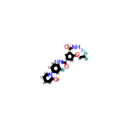 NC(=O)[C@H]1C[C@@H](C(=O)Nc2ccc(-n3ccccc3=O)cc2F)C[C@@H]1OCC(F)F